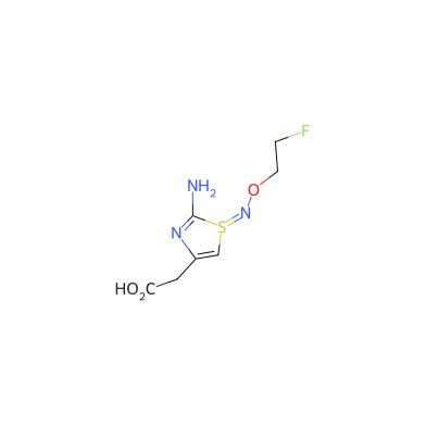 NC1=NC(CC(=O)O)=C/S1=N/OCCF